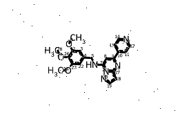 COc1cc(CNc2cc(-c3ccncc3)nc3ccnn23)cc(OC)c1OC